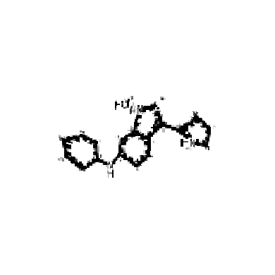 Cl.c1ccc(Nc2ccc3c(-c4ccc[nH]4)n[nH]c3c2)cc1